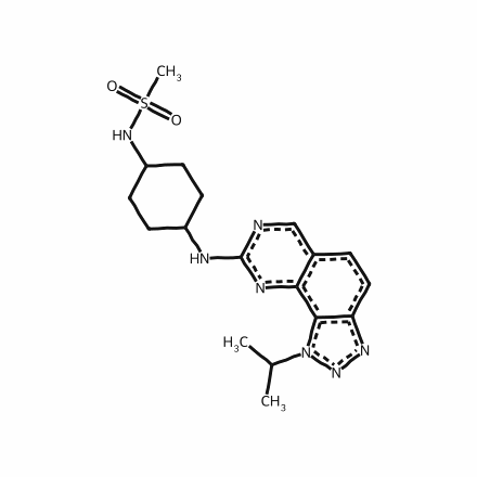 CC(C)n1nnc2ccc3cnc(NC4CCC(NS(C)(=O)=O)CC4)nc3c21